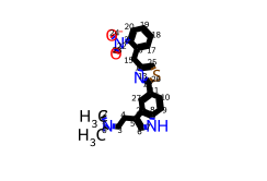 CN(C)CCc1c[nH]c2ccc(-c3nc(Cc4ccccc4[N+](=O)[O-])cs3)cc12